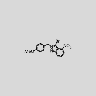 COc1ccc(Cn2nc3cccc([N+](=O)[O-])c3c2Br)cc1